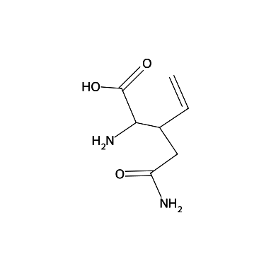 C=CC(CC(N)=O)C(N)C(=O)O